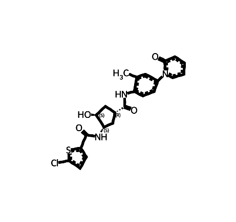 Cc1cc(-n2ccccc2=O)ccc1NC(=O)[C@@H]1C[C@H](NC(=O)c2ccc(Cl)s2)[C@@H](O)C1